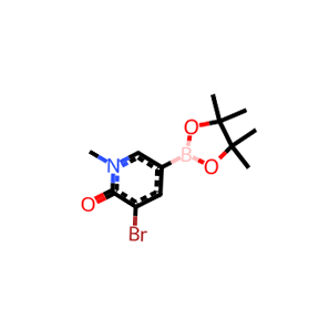 Cn1cc(B2OC(C)(C)C(C)(C)O2)cc(Br)c1=O